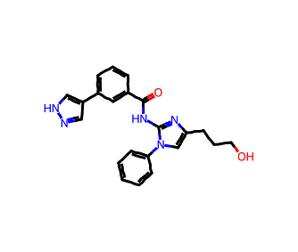 O=C(Nc1nc(CCCO)cn1-c1ccccc1)c1cccc(-c2cn[nH]c2)c1